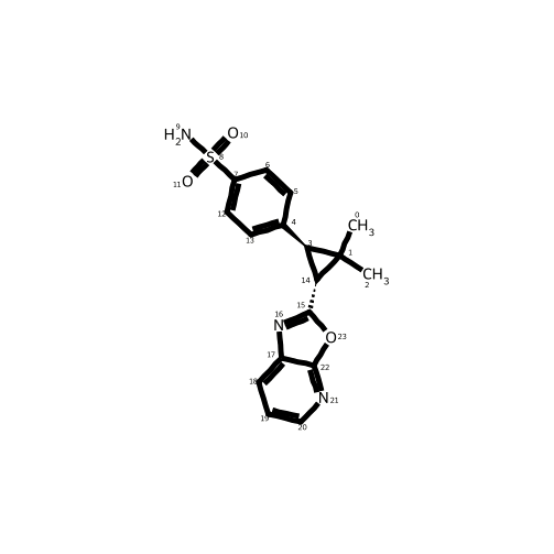 CC1(C)[C@H](c2ccc(S(N)(=O)=O)cc2)[C@H]1c1nc2cccnc2o1